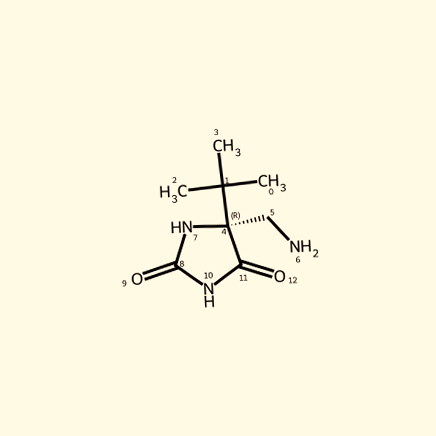 CC(C)(C)[C@]1(CN)NC(=O)NC1=O